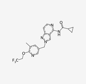 Cc1cc(Cn2cc3c(NC(=O)C4CC4)nccc3n2)cnc1OCC(F)(F)F